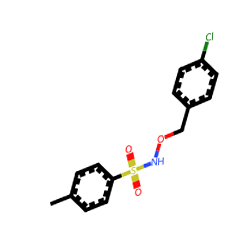 Cc1ccc(S(=O)(=O)NOCc2ccc(Cl)cc2)cc1